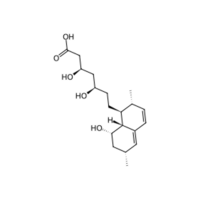 C[C@@H]1C=CC2=C[C@H](C)C[C@H](O)[C@@H]2[C@H]1CC[C@@H](O)C[C@@H](O)CC(=O)O